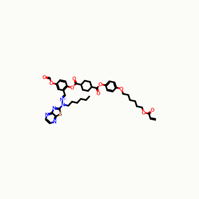 C=CC(=O)OCCCCCCOc1ccc(OC(=O)C2CCC(C(=O)Oc3ccc(OC=O)cc3/C=N/N(CCCCCC)c3nc4nccnc4s3)CC2)cc1